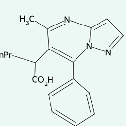 CCCC(C(=O)O)c1c(C)nc2ccnn2c1-c1ccccc1